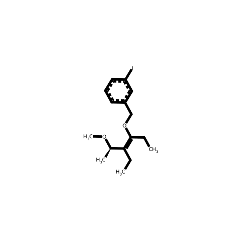 CC/C(OCc1cccc(I)c1)=C(\CC)[C@@H](C)OC